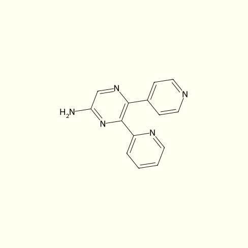 Nc1cnc(-c2ccncc2)c(-c2ccccn2)n1